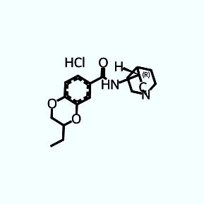 CCC1COc2ccc(C(=O)N[C@H]3CN4CCC3CC4)cc2O1.Cl